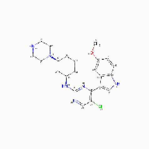 COc1ccc2[nH]cc(-c3nc(N[C@@H]4CCC[C@H](N5CCNCC5)C4)ncc3Cl)c2c1